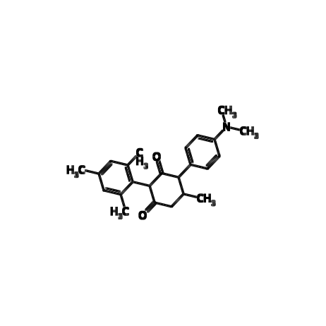 Cc1cc(C)c(C2C(=O)CC(C)C(c3ccc(N(C)C)cc3)C2=O)c(C)c1